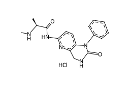 CN[C@@H](C)C(=O)Nc1ccc2c(n1)CNC(=O)N2c1ccccc1.Cl